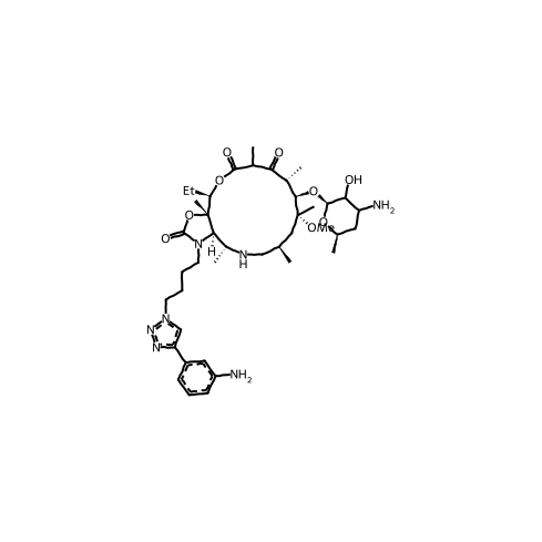 CC[C@H]1OC(=O)C(C)C(=O)[C@H](C)[C@@H](O[C@@H]2O[C@H](C)CC(N)C2O)[C@](C)(OC)C[C@@H](C)CN[C@H](C)[C@H]2N(CCCCn3cc(-c4cccc(N)c4)nn3)C(=O)O[C@]12C